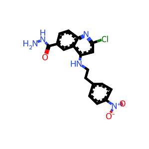 NNC(=O)c1ccc2nc(Cl)cc(NCCc3ccc([N+](=O)[O-])cc3)c2c1